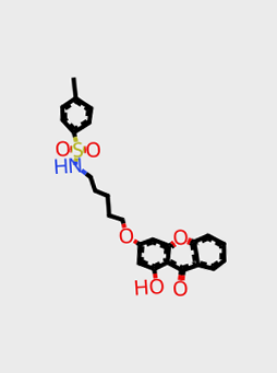 Cc1ccc(S(=O)(=O)NCCCCCOc2cc(O)c3c(=O)c4ccccc4oc3c2)cc1